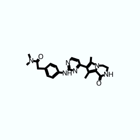 Cc1c(-c2ccnc(Nc3ccc(CC(=O)N(C)C)cc3)n2)c(C)n2c1C(=O)NCC2